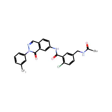 CC(C)(C)C(=O)NCc1ccc(Cl)c(C(=O)Nc2ccc3cnn(-c4cccc(C(F)(F)F)c4)c(=O)c3c2)c1